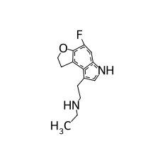 CCNCCc1c[nH]c2cc(F)c3c(c12)CCO3